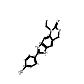 CCN1C(=O)OCc2cc3[nH]c(-c4ccc(O)cc4)nc3cc21